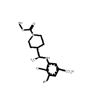 C[C@H](Nc1cc(C(=O)O)cc(Br)c1Cl)C1CCN(C(=O)OC(C)(C)C)CC1